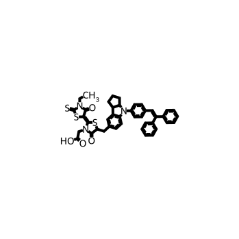 CCN1C(=O)/C(=C2\SC(Cc3ccc4c(c3)C3CCCC3N4c3ccc(C=C(c4ccccc4)c4ccccc4)cc3)C(=O)N2CC(=O)O)SC1=S